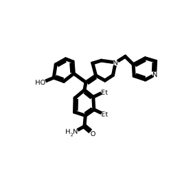 CCc1c(C(N)=O)ccc(C(=C2CCN(Cc3ccncc3)CC2)c2cccc(O)c2)c1CC